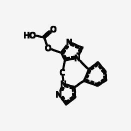 O=C(O)Oc1ncn2c1Cn1nccc1-c1ccccc1-2